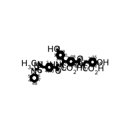 Cn1nc(-c2ccc(C(=O)N[C@H](C(=O)O)C(c3ccc(O)cc3)c3ccc(C(=O)N[C@@H](Cc4ccc(O)cc4)C(=O)O)cc3)cc2)sc1=NC1CCCCC1